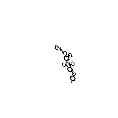 COc1cc(N2C(=O)c3ccc(Oc4ccc(C)cc4)cc3C2=O)ccc1OCCN1CCCC1